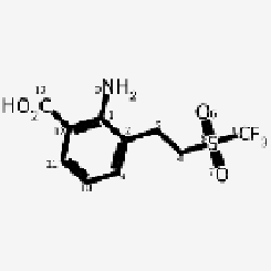 Nc1c(CCS(=O)(=O)C(F)(F)F)cccc1C(=O)O